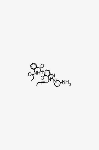 CCC#CCn1c(N2CCCC(N)C2)nc2ccn(CC(=O)c3ccccc3NC(=O)CC)c(=O)c21